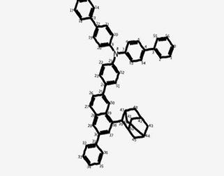 c1ccc(-c2ccc(N(c3ccc(-c4ccccc4)cc3)c3ccc(-c4ccc5cc(-c6ccccc6)cc(C6C7CC8CC(C7)CC6C8)c5c4)cc3)cc2)cc1